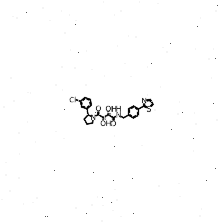 O=C(NCc1ccc(-c2nccs2)cc1)[C@H](O)[C@@H](O)C(=O)N1CCCC1c1cccc(Cl)c1